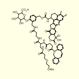 CCC1(O)C(=O)OCc2c1cc1n(c2=O)Cc2c-1nc1cc(F)c(C)c3c1c2C(NC(=O)OCc1ccc(OC2OC(C(=O)O)C(O)C(O)C2O)c(CNC(=O)CCNC(=O)C(CNC(=O)CCOCCOC)NC(=O)CCC(=O)N2Cc4ccccc4/C=C\c4ccccc42)c1)CC3